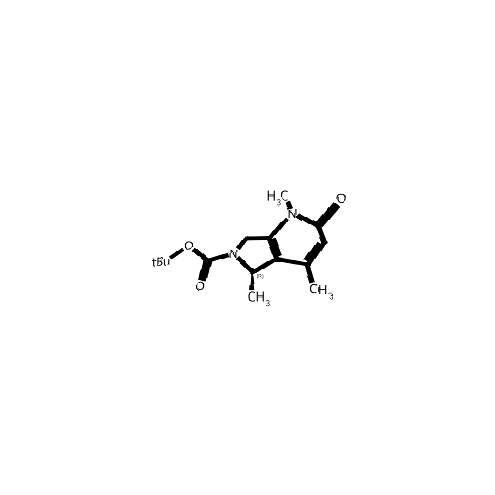 Cc1cc(=O)n(C)c2c1[C@@H](C)N(C(=O)OC(C)(C)C)C2